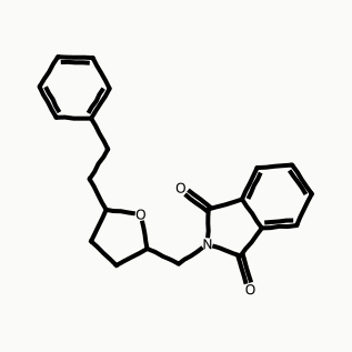 O=C1c2ccccc2C(=O)N1CC1CCC(CCc2ccccc2)O1